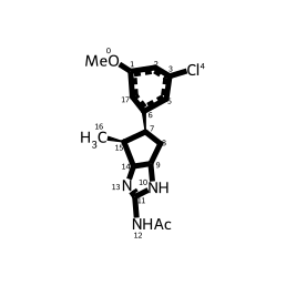 COc1cc(Cl)cc([C@H]2CC3NC(NC(C)=O)=NC3[C@H]2C)c1